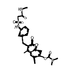 CNC(=O)CS(=O)(=O)Nc1cccc(Cc2c(C)c3cc(C)c(OC(=O)N(C)C)cc3oc2=O)c1